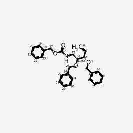 C=C[C@H](OCc1ccccc1)[C@H](CNC(=O)OCc1ccccc1)OCc1ccccc1